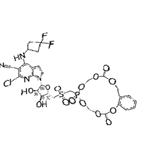 N#Cc1c(Cl)nc2c(ccn2[C@@H]2O[C@H](CS(=O)(=O)CP3(=O)OCOC(=O)OCc4ccccc4OC(=O)OCO3)[C@@H](O)[C@H]2O)c1NC1CC(F)(F)C1